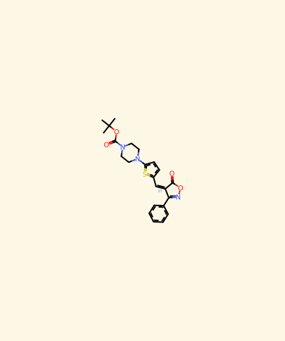 CC(C)(C)OC(=O)N1CCN(c2ccc(/C=C3\C(=O)ON=C3c3ccccc3)s2)CC1